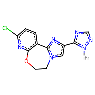 CC(C)n1ncnc1-c1cn2c(n1)-c1ccc(Cl)nc1OCC2